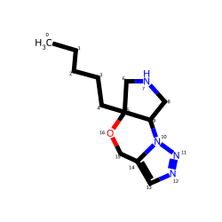 CCCCCC12CNCC1n1nncc1CO2